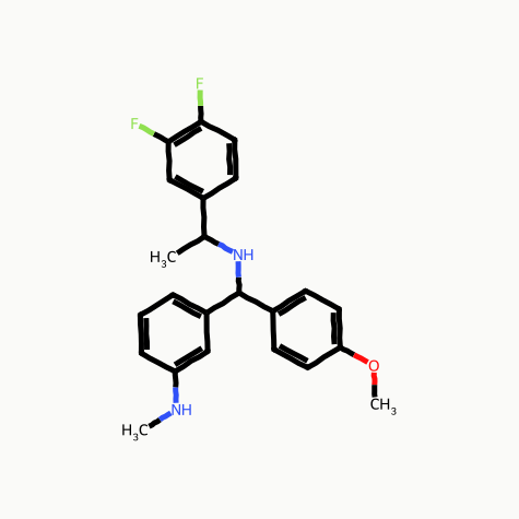 CNc1cccc(C(NC(C)c2ccc(F)c(F)c2)c2ccc(OC)cc2)c1